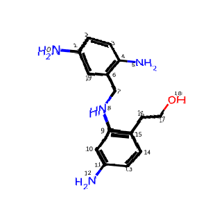 Nc1ccc(N)c(CNc2cc(N)ccc2CCO)c1